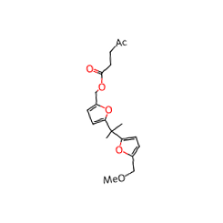 COCc1ccc(C(C)(C)c2ccc(COC(=O)CCC(C)=O)o2)o1